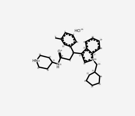 Cc1cccc(C(CC(=O)NC2CCNCC2)c2cn(CC3CCCCC3)c3ccccc23)c1.Cl